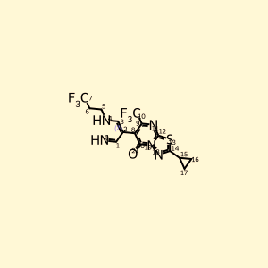 N=C/C(=C\NCCC(F)(F)F)c1c(C(F)(F)F)nc2sc(C3CC3)nn2c1=O